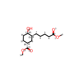 COC(=O)CCCC[C@H]1C[C@H](C(=O)OC)CC[C@H]1O